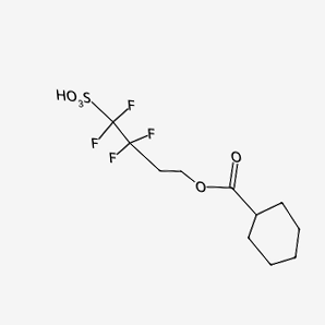 O=C(OCCC(F)(F)C(F)(F)S(=O)(=O)O)C1CCCCC1